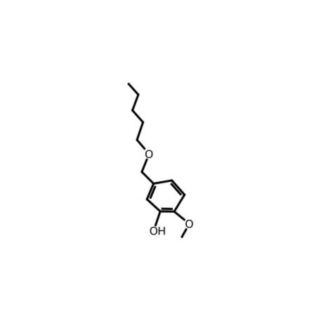 CCCCCOCc1ccc(OC)c(O)c1